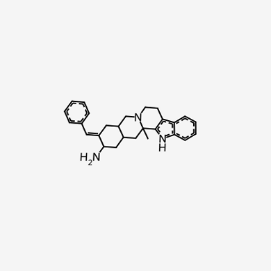 CC12CC3CC(N)C(=Cc4ccccc4)CC3CN1CCc1c2[nH]c2ccccc12